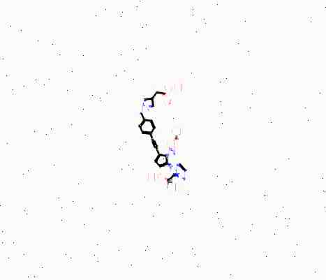 CCO/N=C1\C(C#Cc2ccc(CN3CC(CC(=O)O)C3)cc2)=CC=C1n1ccnc1[C@H](C)O